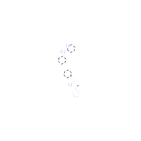 N[C@@H](Cc1ccc(Oc2ccc(Nc3ccccn3)cc2)cc1)C(=O)N1CCCC1